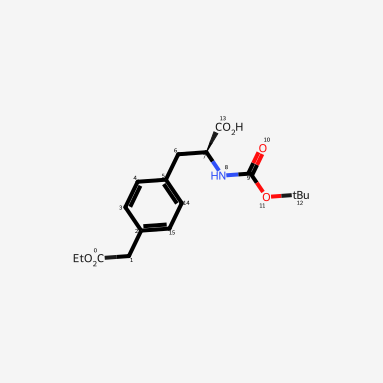 CCOC(=O)Cc1ccc(C[C@H](NC(=O)OC(C)(C)C)C(=O)O)cc1